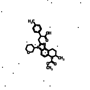 COC(=O)N1c2ccc3c(nc(CC(C(=O)O)c4ccc(C)cc4)n3C3CCCOC3)c2CCC1C